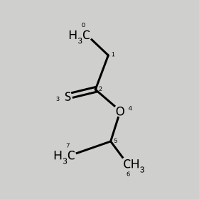 CCC(=S)OC(C)C